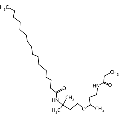 CCCCCCCCCCCCCCCC(=O)NC(C)(C)CCOC(C)CCNC(=O)CC